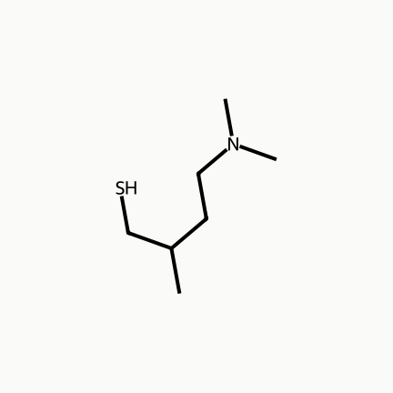 CC(CS)CCN(C)C